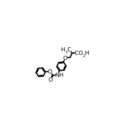 CC(COc1ccc(NC(=O)Oc2ccccc2)cc1)C(=O)O